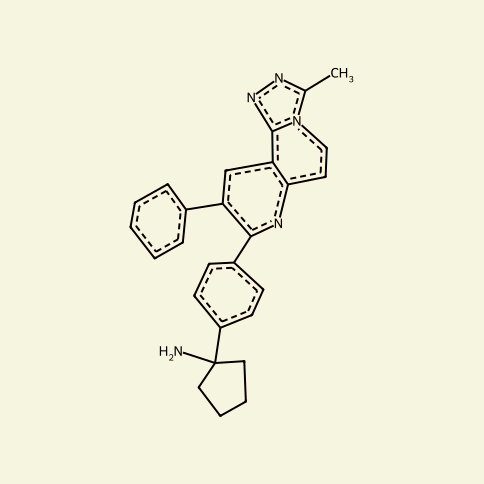 Cc1nnc2c3cc(-c4ccccc4)c(-c4ccc(C5(N)CCCC5)cc4)nc3ccn12